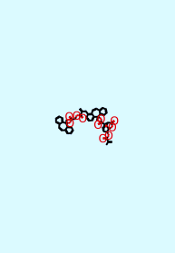 C=C(C)C(=O)OC1C2CC3C1OC(=O)C3C2C(=O)OC1(C)c2ccccc2C=Cc2c(CC(=C)C(=O)OCC(=O)OC3(C)c4ccccc4C=Cc4ccccc43)cccc21